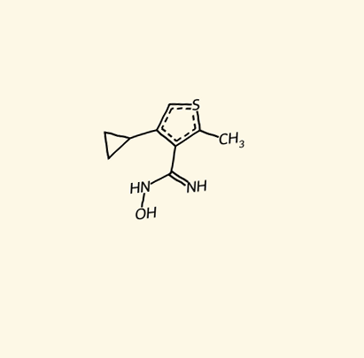 Cc1scc(C2CC2)c1C(=N)NO